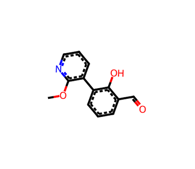 COc1ncccc1-c1cccc(C=O)c1O